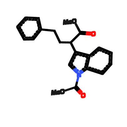 COC(=O)C(CCc1ccccc1)c1cn(C(=O)OC)c2ccccc12